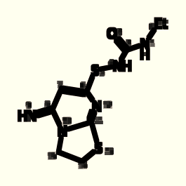 CCNC(=O)NSc1cc(=N)n2c(n1)SCC2